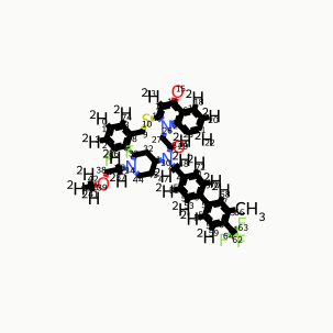 [2H]c1c([2H])c(F)c(F)c(CSc2c([2H])c(=O)c3c([2H])c([2H])c([2H])c([2H])c3n2CC(=O)N(C2CCN(C([2H])([2H])COC([2H])([2H])[2H])CC2)C([2H])([2H])c2c([2H])c([2H])c(-c3c([2H])c([2H])c(C(F)(F)F)c(C)c3[2H])c([2H])c2[2H])c1[2H]